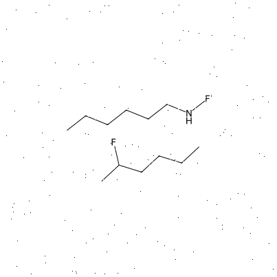 CCCCC(C)F.CCCCCCNF